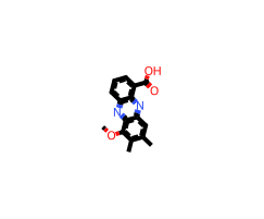 COc1c(C)c(C)cc2nc3c(C(=O)O)cccc3nc12